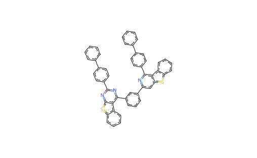 c1ccc(-c2ccc(-c3nc(-c4cccc(-c5cc6sc7ccccc7c6c(-c6ccc(-c7ccccc7)cc6)n5)c4)c4c(n3)sc3ccccc34)cc2)cc1